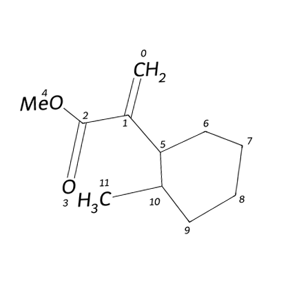 C=C(C(=O)OC)C1CCCCC1C